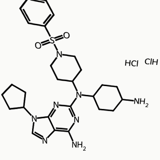 Cl.Cl.Nc1nc(N(C2CCC(N)CC2)C2CCN(S(=O)(=O)c3ccccc3)CC2)nc2c1ncn2C1CCCC1